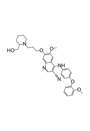 COc1cc2c(Nc3ccc(Oc4ccccc4OC)cc3)c(C#N)cnc2cc1OCCCN1CCCCC1CO